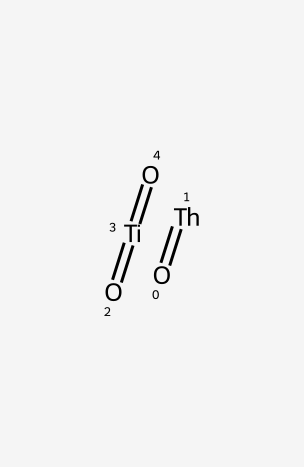 [O]=[Th].[O]=[Ti]=[O]